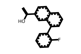 C=C(O)c1ccc2cccc(-c3ccccc3F)c2c1